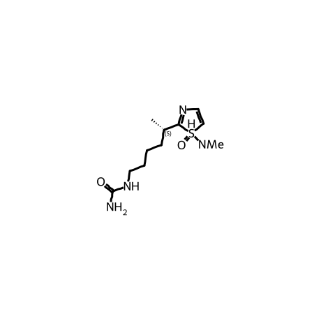 CN[SH]1(=O)C=CN=C1[C@@H](C)CCCCNC(N)=O